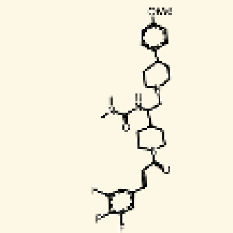 COc1ccc(C2CCN(CC(NC(=O)N(C)C)C3CCN(C(=O)/C=C/c4cc(F)c(F)c(F)c4)CC3)CC2)cc1